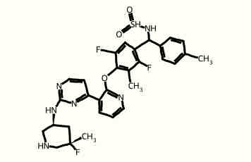 Cc1ccc(C(N[SH](=O)=O)c2cc(F)c(Oc3ncccc3-c3ccnc(N[C@@H]4CNC[C@@](C)(F)C4)n3)c(C)c2F)cc1